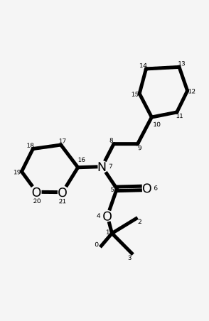 CC(C)(C)OC(=O)N(CCC1CCCCC1)C1CCCOO1